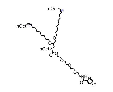 CCCCCCCC/C=C\CCCCCCCCOCC(CN(CCCCCCCC)C(=O)OCCOCCOCCOCCNC(=O)c1c[nH]cn1)OCCCCCCCC/C=C\CCCCCCCC